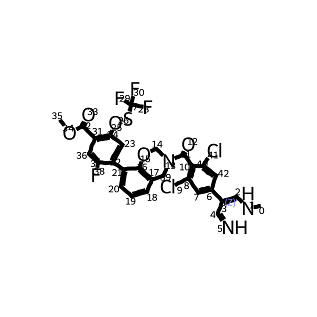 CN/C=C(\C=N)c1cc(Cl)c(C(=O)N2COc3c(cccc3-c3cc(OSC(F)(F)F)c(C(=O)OC)cc3F)C2)c(Cl)c1